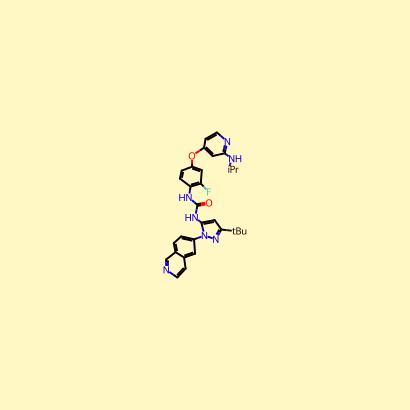 CC(C)Nc1cc(Oc2ccc(NC(=O)Nc3cc(C(C)(C)C)nn3-c3ccc4cnccc4c3)c(F)c2)ccn1